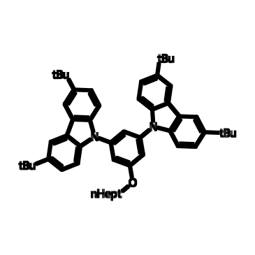 CCCCCCCOc1cc(-n2c3ccc(C(C)(C)C)cc3c3cc(C(C)(C)C)ccc32)cc(-n2c3ccc(C(C)(C)C)cc3c3cc(C(C)(C)C)ccc32)c1